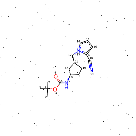 CC(C)(C)OC(=O)N[C@@H]1CC[C@H](Cn2cccc2C#N)C1